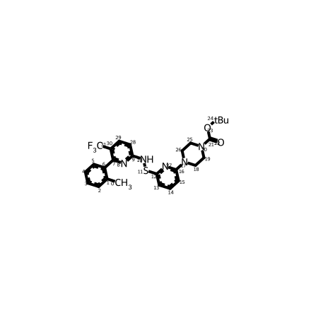 Cc1ccccc1-c1nc(NSc2cccc(N3CCN(C(=O)OC(C)(C)C)CC3)n2)ccc1C(F)(F)F